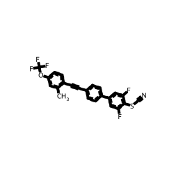 Cc1cc(OC(F)(F)F)ccc1C#Cc1ccc(-c2cc(F)c(SC#N)c(F)c2)cc1